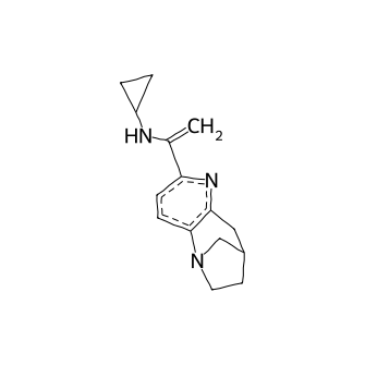 C=C(NC1CC1)c1ccc2c(n1)CC1CCN2C1